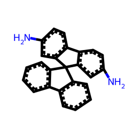 Nc1ccc2c(c1)C1(c3ccccc3-c3ccccc31)c1cc(N)ccc1-2